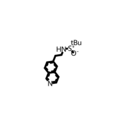 CC(C)(C)[S+]([O-])NCCc1ccc2cnccc2c1